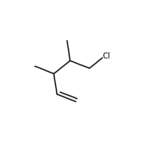 C=CC(C)C(C)CCl